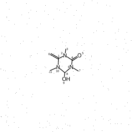 C=C1N(C)C(=O)N(C)C(O)N1C